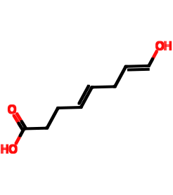 O=C(O)CCC=CCC=CO